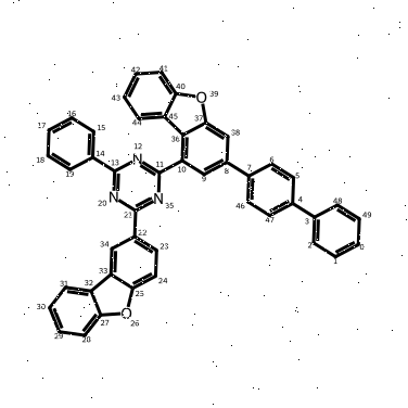 c1ccc(-c2ccc(-c3cc(-c4nc(-c5ccccc5)nc(-c5ccc6oc7ccccc7c6c5)n4)c4c(c3)oc3ccccc34)cc2)cc1